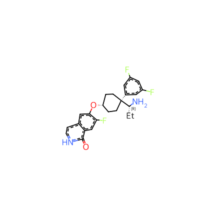 CC[C@@H](N)[C@]1(c2cc(F)cc(F)c2)CC[C@@H](Oc2cc3cc[nH]c(=O)c3cc2F)CC1